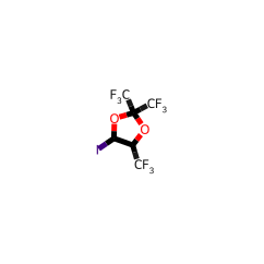 FC(F)(F)C1OC(C(F)(F)F)(C(F)(F)F)OC1I